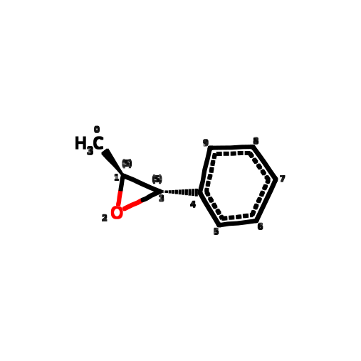 C[C@@H]1O[C@H]1c1ccccc1